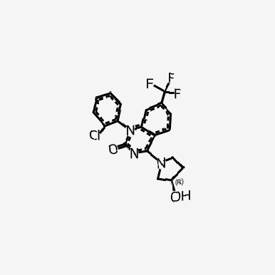 O=c1nc(N2CC[C@@H](O)C2)c2ccc(C(F)(F)F)cc2n1-c1ccccc1Cl